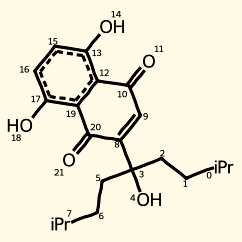 CC(C)CCC(O)(CCC(C)C)C1=CC(=O)c2c(O)ccc(O)c2C1=O